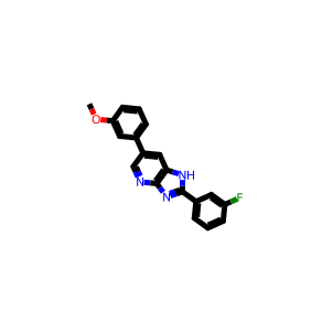 COc1cccc(-c2cnc3nc(-c4cccc(F)c4)[nH]c3c2)c1